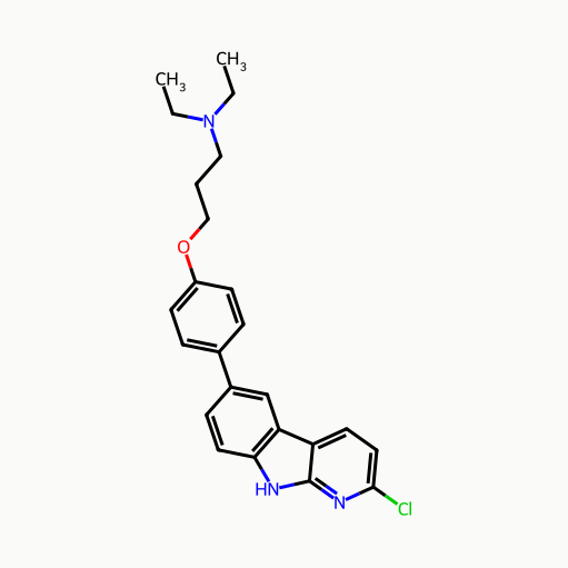 CCN(CC)CCCOc1ccc(-c2ccc3[nH]c4nc(Cl)ccc4c3c2)cc1